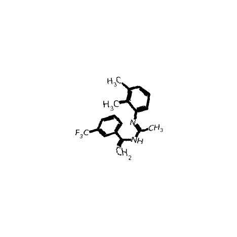 C=C(N/C(C)=N/c1cccc(C)c1C)c1cccc(C(F)(F)F)c1